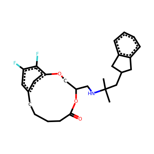 CC(C)(CC1Cc2ccccc2C1)NCC1COc2cc(cc(F)c2F)CCCCC(=O)O1